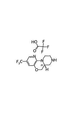 FC(F)(F)c1cnc2c(c1)OC[C@H]1CNCCN21.O=C(O)C(F)(F)F